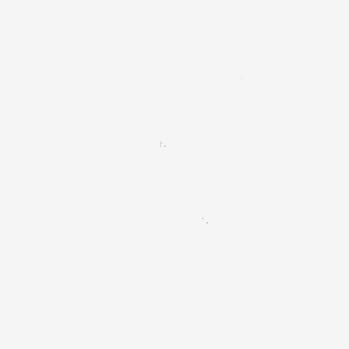 Brc1ccc(-n2c3ccccc3c3ccc4c(c5ccccc5n4-c4ccccc4)c32)c2ccccc12